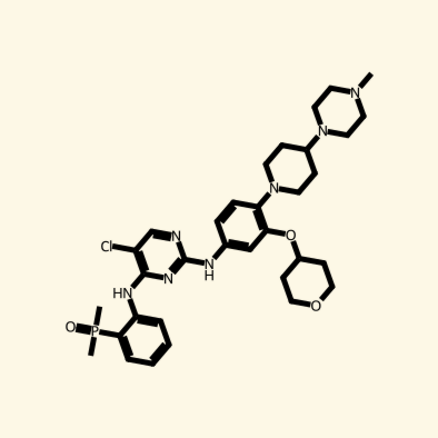 CN1CCN(C2CCN(c3ccc(Nc4ncc(Cl)c(Nc5ccccc5P(C)(C)=O)n4)cc3OC3CCOCC3)CC2)CC1